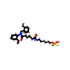 C=Cc1ccccc1N(Cc1ccccc1CC)C(=O)CCCCC(=O)NCCCCCCOP(C)(O)=S